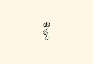 CC1CCC(C2CCC(CCC3COC(C)OC3)OC2)CC1